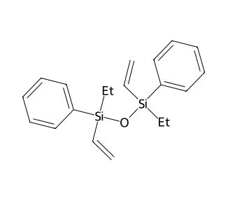 C=C[Si](CC)(O[Si](C=C)(CC)c1ccccc1)c1ccccc1